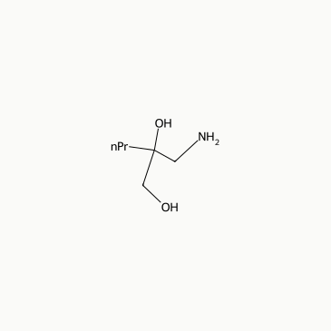 CCCC(O)(CN)CO